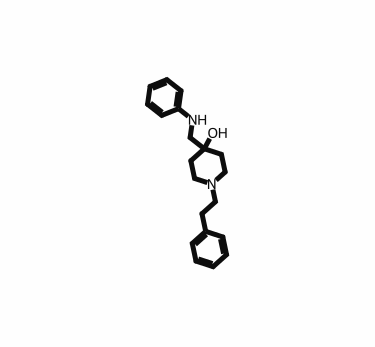 OC1(CNc2ccccc2)CCN(CCc2ccccc2)CC1